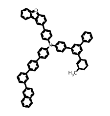 CC1C=C(c2cc(-c3ccccc3)cc(-c3ccc(N(c4ccc(-c5ccc(-c6cccc(-c7ccc8ccccc8c7)c6)cc5)cc4)c4ccc(-c5ccc6oc7ccccc7c6c5)cc4)cc3)c2)C=CC1